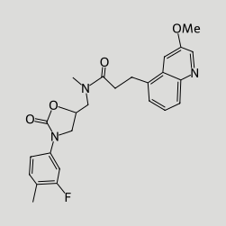 COc1cnc2cccc(CCC(=O)N(C)CC3CN(c4ccc(C)c(F)c4)C(=O)O3)c2c1